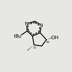 C[C@H]1C[C@@H](O)c2ncnc(C(C)(C)C)c21